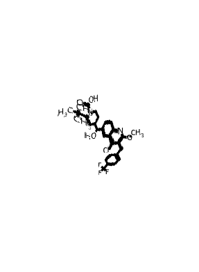 COc1nc2ccc(C(O)C3CCN(C(=O)O)C(C(C)(C)C)C3)cc2c(Cl)c1Cc1ccc(C(F)(F)F)cc1